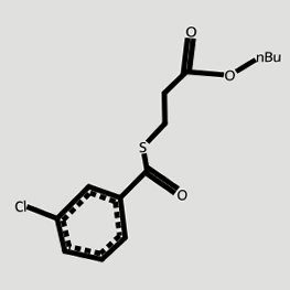 CCCCOC(=O)CCSC(=O)c1cccc(Cl)c1